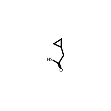 O=C(S)CC1CC1